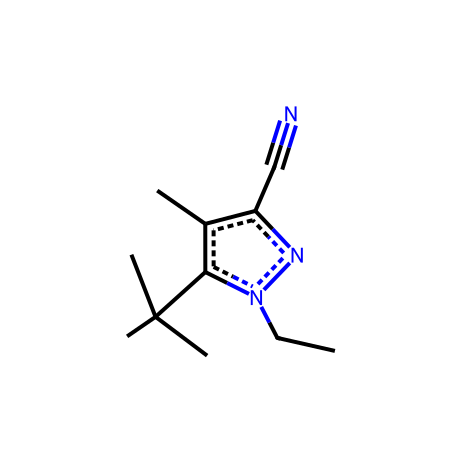 CCn1nc(C#N)c(C)c1C(C)(C)C